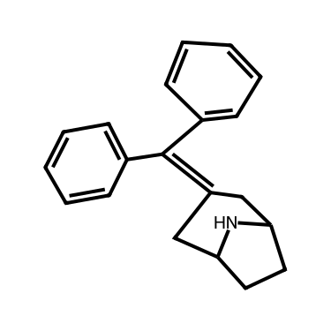 c1ccc(C(=C2CC3CCC(C2)N3)c2ccccc2)cc1